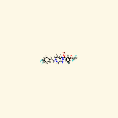 O=C(NCC1CCN(CCC2CCC(F)(F)CC2)CC1)c1cc(F)cc(OC(F)F)c1